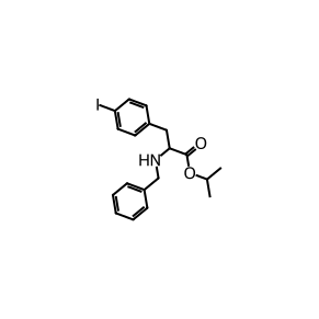 CC(C)OC(=O)C(Cc1ccc(I)cc1)NCc1ccccc1